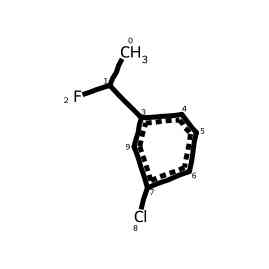 CC(F)c1cccc(Cl)c1